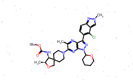 Cc1nc2c(-c3ccc4nn(C)cc4c3Cl)nn(C3CCCCO3)c2nc1N1CCC2(CC1)CO[C@@H](C)[C@H]2NC(=O)OC(C)(C)C